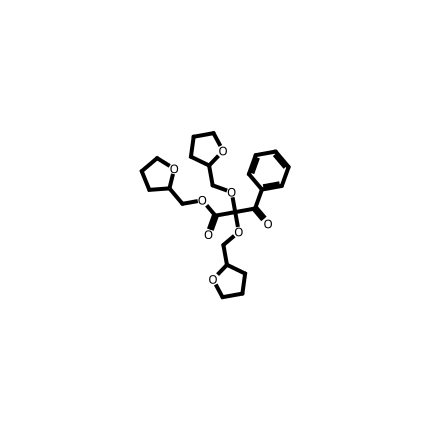 O=C(OCC1CCCO1)C(OCC1CCCO1)(OCC1CCCO1)C(=O)c1ccccc1